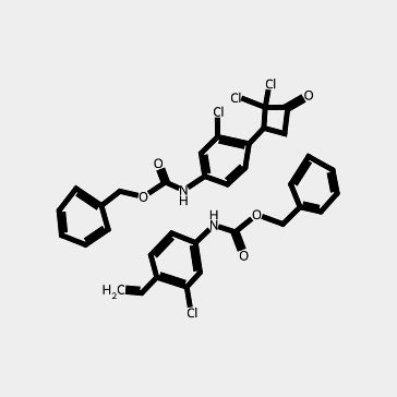 C=Cc1ccc(NC(=O)OCc2ccccc2)cc1Cl.O=C(Nc1ccc(C2CC(=O)C2(Cl)Cl)c(Cl)c1)OCc1ccccc1